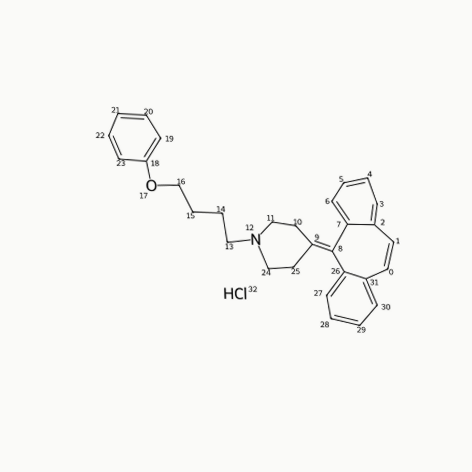 C1=Cc2ccccc2C(=C2CCN(CCCCOc3ccccc3)CC2)c2ccccc21.Cl